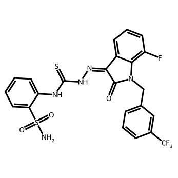 NS(=O)(=O)c1ccccc1NC(=S)NN=C1C(=O)N(Cc2cccc(C(F)(F)F)c2)c2c(F)cccc21